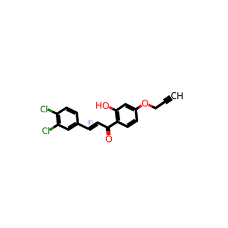 C#CCOc1ccc(C(=O)/C=C/c2ccc(Cl)c(Cl)c2)c(O)c1